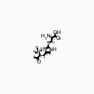 CC(=O)[C@H](Cc1c[nH]c(SC[C@H](N)C(=O)O)n1)[N+](C)(C)C